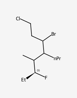 CCCC(C(Br)CCCl)C(C)[C@@H](F)CC